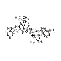 CC(C)(C)OC(=O)N[C@@H](Cc1c[nH]c2ccccc12)C(=O)NS(=O)(=O)NC[C@H]1O[C@@H](n2cnc3c(N)ncnc32)[C@@H]2OC(C)(C)O[C@@H]21